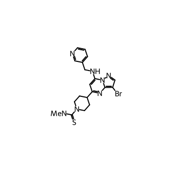 CNC(=S)N1CCC(c2cc(NCc3cccnc3)n3ncc(Br)c3n2)CC1